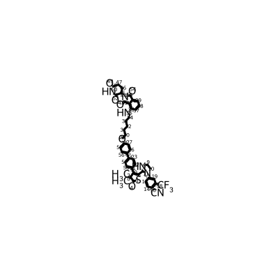 CC1(C)C(=O)SC(C2NCCN2c2ccc(C#N)c(C(F)(F)F)c2)=C1c1ccc(-c2ccc(OCCCCCNc3cccc4c3C(=O)N(C3CCC(=O)NC3=O)C4=O)cc2)cc1